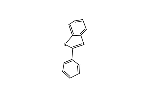 [c]1ccccc1-c1cc2ccccc2s1